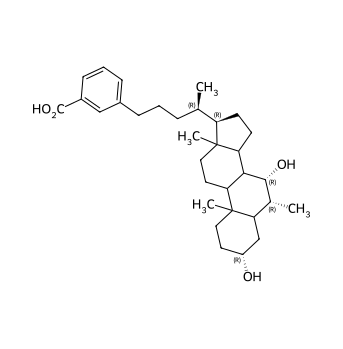 C[C@H](CCCc1cccc(C(=O)O)c1)[C@H]1CCC2C3C(CCC21C)C1(C)CC[C@@H](O)CC1[C@@H](C)[C@H]3O